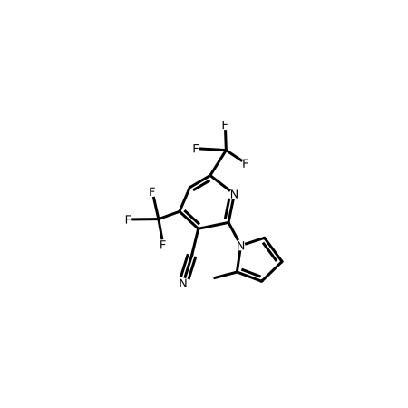 Cc1cccn1-c1nc(C(F)(F)F)cc(C(F)(F)F)c1C#N